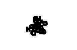 COc1ccc(-c2ccccc2)cc1N(Cc1ccccc1)S(=O)(=O)c1c(C)c(Cl)cc(Cl)c1OCc1ccccc1